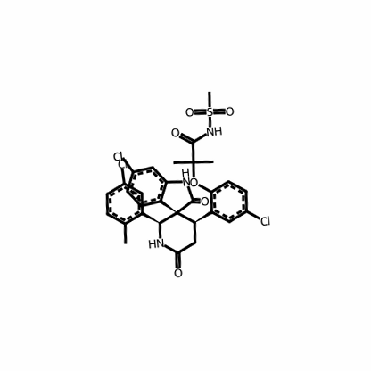 Cc1ccc(Cl)cc1[C@@H]1NC(=O)C[C@H](c2cc(Cl)ccc2OC(C)(C)C(=O)NS(C)(=O)=O)[C@@]12C(=O)Nc1cc(Cl)ccc12